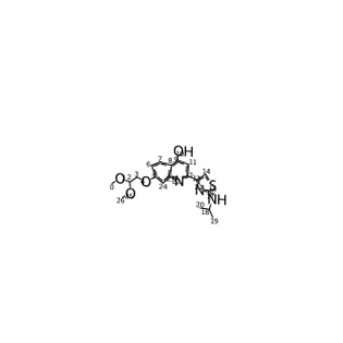 COC(COc1ccc2c(O)cc(-c3csc(NC(C)C)n3)nc2c1)OC